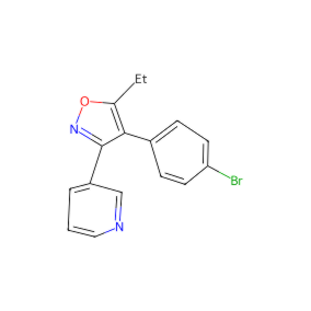 CCc1onc(-c2cccnc2)c1-c1ccc(Br)cc1